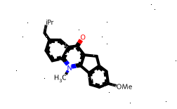 COc1ccc2c(c1)Cc1c-2n(C)c2ccc(CC(C)C)cc2c1=O